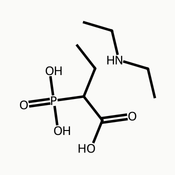 CCC(C(=O)O)P(=O)(O)O.CCNCC